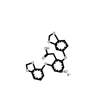 O=C(O)Cc1c(Oc2ccc3c(c2)OCO3)cccc1Oc1cccc2c1OCO2.[K+].[OH-]